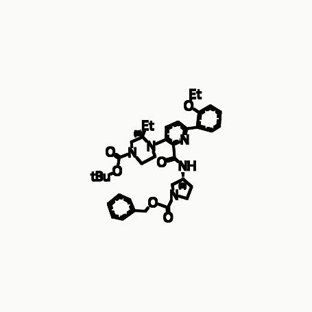 CCOc1ccccc1-c1ccc(N2CCN(C(=O)OC(C)(C)C)C[C@H]2CC)c(C(=O)N[C@@H]2CCN(C(=O)OCc3ccccc3)C2)n1